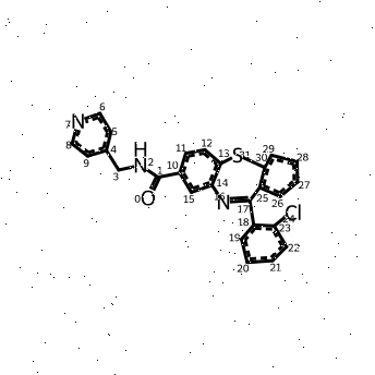 O=C(NCc1ccncc1)c1ccc2c(c1)N=C(c1ccccc1Cl)c1ccccc1S2